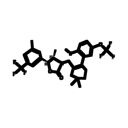 CSc1ccc(OC(F)(F)F)cc1C1=C(CN2C(=O)O[C@H](c3cc(C)cc(C(F)(F)F)c3)[C@@H]2C)CC(C)(C)CC1